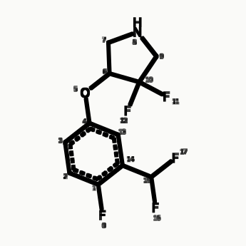 Fc1ccc(OC2CNCC2(F)F)cc1C(F)F